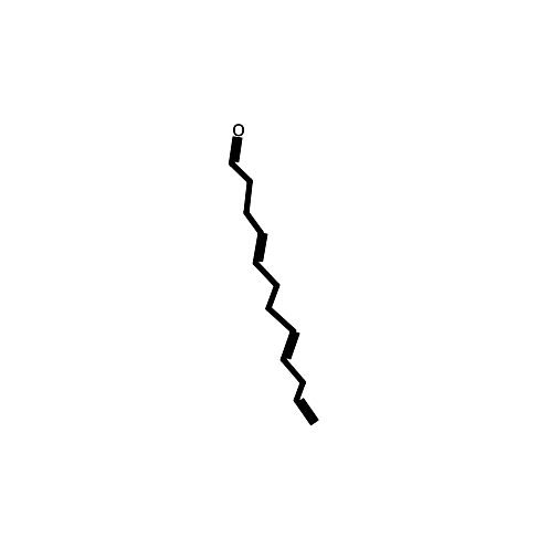 C=CCC=CCCC=CCCC=O